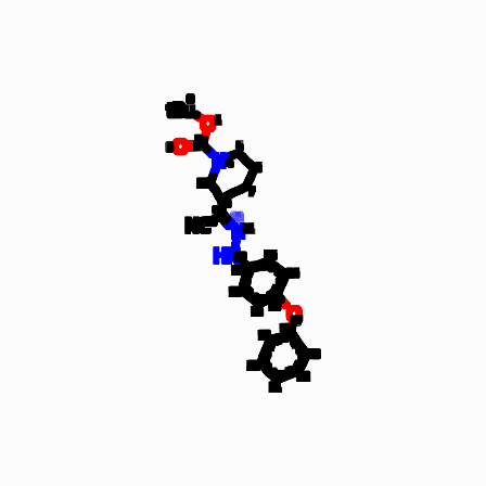 CC(C)(C)OC(=O)N1CCCC(/C(C#N)=N/Nc2ccc(Oc3ccccc3)cc2)C1